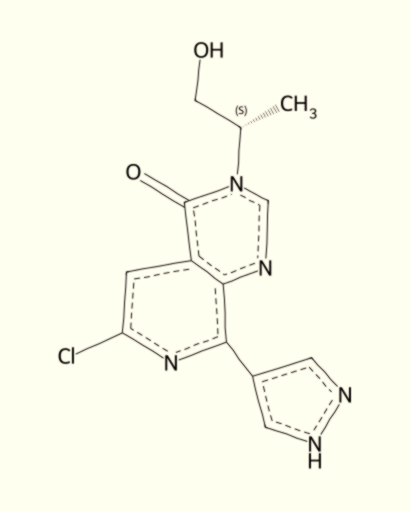 C[C@@H](CO)n1cnc2c(-c3cn[nH]c3)nc(Cl)cc2c1=O